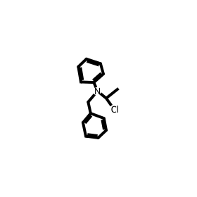 CC(Cl)N(Cc1ccccc1)c1ccccc1